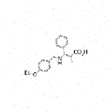 CCOc1ccc(CNC(=C(C)C(=O)O)c2ccccc2)cc1